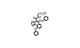 CCOC(=O)CNC(=O)c1c(OCc2ccccc2)c2cccc(Oc3ccccc3)c2c2ncnn12